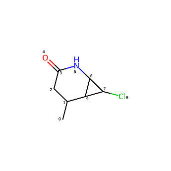 CC1CC(=O)NC2C(Cl)C12